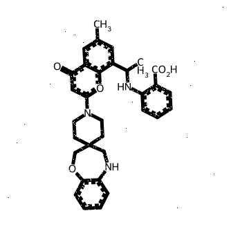 Cc1cc(C(C)Nc2ccccc2C(=O)O)c2oc(N3CCC4(CC3)CNc3ccccc3OC4)cc(=O)c2c1